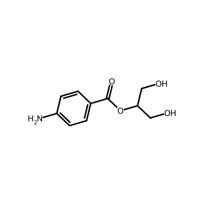 Nc1ccc(C(=O)OC(CO)CO)cc1